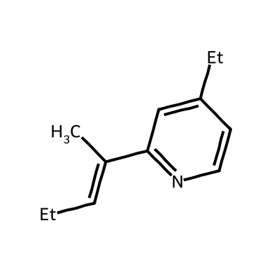 CC/C=C(\C)c1cc(CC)ccn1